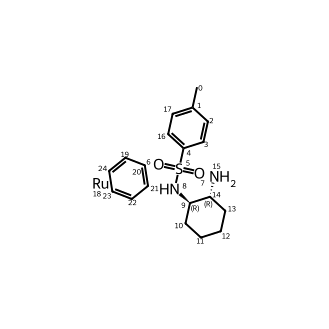 Cc1ccc(S(=O)(=O)N[C@@H]2CCCC[C@H]2N)cc1.[Ru].c1ccccc1